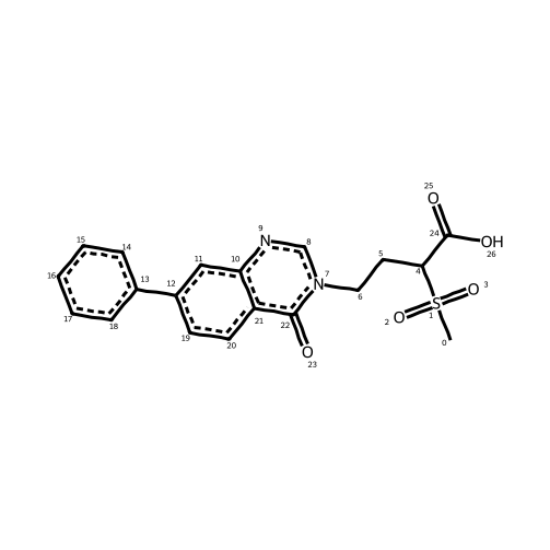 CS(=O)(=O)C(CCn1cnc2cc(-c3ccccc3)ccc2c1=O)C(=O)O